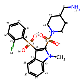 Cn1c(S(=O)(=O)N2CCC(CN)CC2)c(S(=O)(=O)c2ccccc2F)c2ccccc21